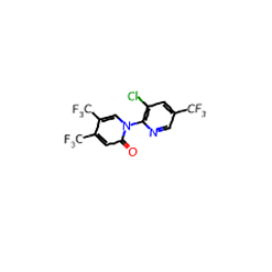 O=c1cc(C(F)(F)F)c(C(F)(F)F)cn1-c1ncc(C(F)(F)F)cc1Cl